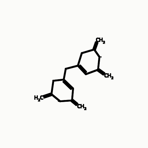 C=C1[CH]C(=C)CC(CC2=CC(=C)[CH]C(=C)C2)=C1